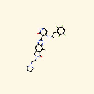 Cc1c2c(cc3nc(-c4c(NC(C)Cc5c(F)c(F)cc(F)c5F)cc[nH]c4=O)[nH]c13)CN(CCN1CCCC1)C2=O